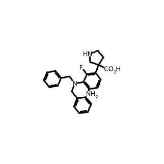 Nc1ccc(C2(C(=O)O)CCNC2)c(F)c1N(Cc1ccccc1)Cc1ccccc1